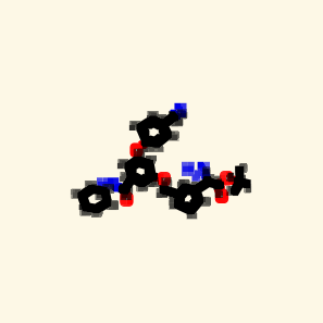 CC(C)(C)OC(=O)C(N)c1cccc(COc2cc(Oc3ccc(C#N)cc3)cc(C(=O)NC3CC[CH]CC3)c2)c1